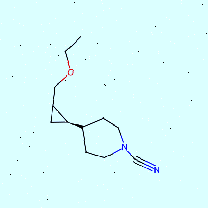 CCOCC1C[C@@H]1C1CCN(C#N)CC1